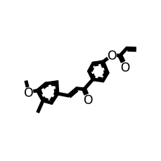 C=CC(=O)Oc1ccc(C(=O)C=Cc2ccc(OC)c(C)c2)cc1